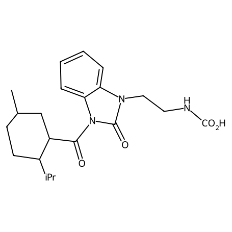 CC1CCC(C(C)C)C(C(=O)n2c(=O)n(CCNC(=O)O)c3ccccc32)C1